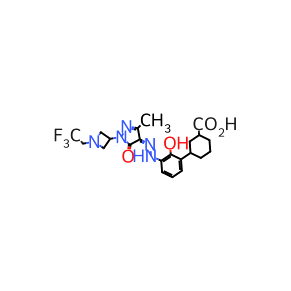 CC1=NN(C2CN(CC(F)(F)F)C2)C(=O)C1=NNc1cccc(C2CCCC(C(=O)O)C2)c1O